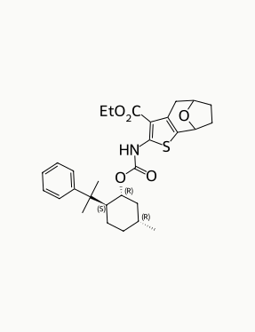 CCOC(=O)c1c(NC(=O)O[C@@H]2C[C@H](C)CC[C@H]2C(C)(C)c2ccccc2)sc2c1CC1CCC2O1